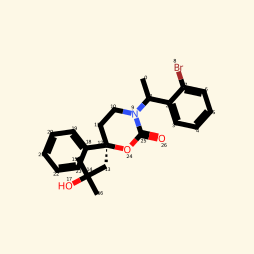 CC(c1ccccc1Br)N1CC[C@](CC(C)(C)O)(c2ccccc2)OC1=O